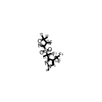 Cn1cc(C(F)(F)F)c(C(C)(C)S(=O)(=O)C2=NOC(C)(C)C2F)n1